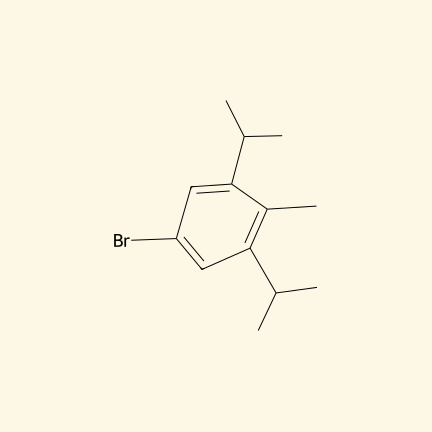 Cc1c(C(C)C)cc(Br)cc1C(C)C